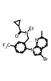 CCN(Cc1cc(C(F)(F)F)ccc1-n1cc(Br)c2ccc(C)nc21)C(=O)C1CC1